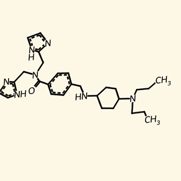 CCCN(CCC)C1CCC(NCc2ccc(C(=O)N(Cc3ncc[nH]3)Cc3ncc[nH]3)cc2)CC1